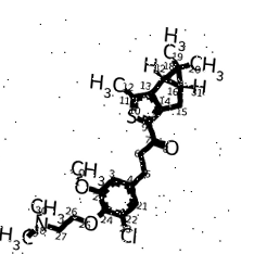 COc1cc(CCC(=O)c2sc(C)c3c2C[C@@H]2[C@H]3C2(C)C)cc(Cl)c1OCCN(C)C